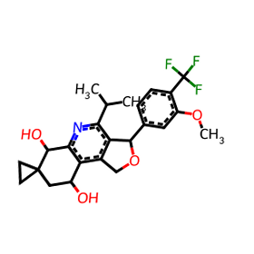 COc1cc(C2OCc3c4c(nc(C(C)C)c32)C(O)C2(CC2)CC4O)ccc1C(F)(F)F